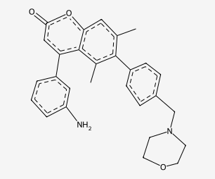 Cc1cc2oc(=O)cc(-c3cccc(N)c3)c2c(C)c1-c1ccc(CN2CCOCC2)cc1